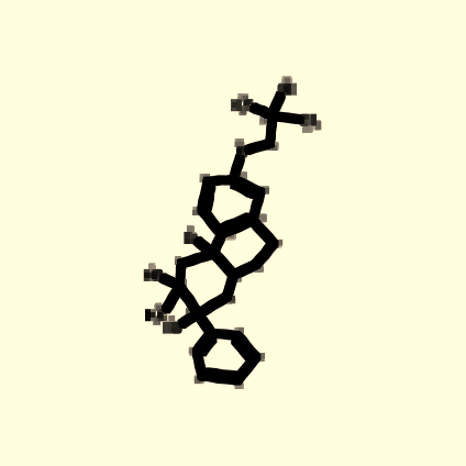 CCC12CC(C)(O)C(O)(c3ccccc3)CC1CCc1cc(OCC(C)(C)O)ccc12